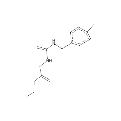 C=C(CCC)CNC(=C)NCc1ccc(C)cc1